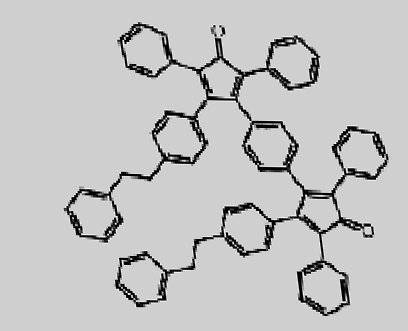 O=C1C(c2ccccc2)=C(c2ccc(CCc3ccccc3)cc2)C(c2ccc(C3=C(c4ccccc4)C(=O)C(c4ccccc4)=C3c3ccc(CCc4ccccc4)cc3)cc2)=C1c1ccccc1